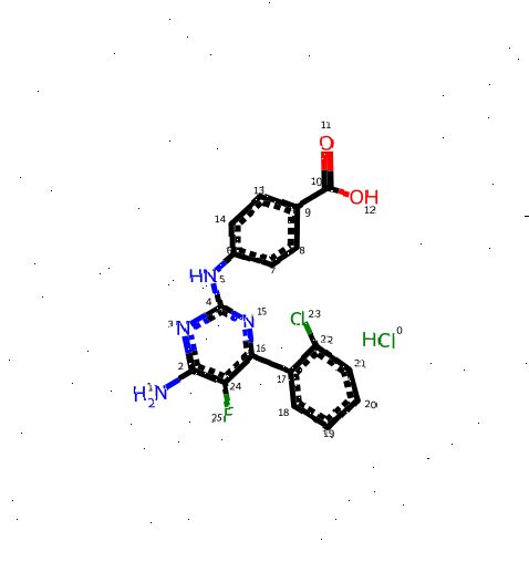 Cl.Nc1nc(Nc2ccc(C(=O)O)cc2)nc(-c2ccccc2Cl)c1F